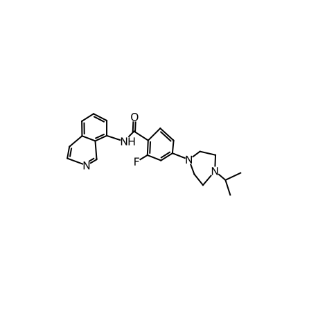 CC(C)N1CCN(c2ccc(C(=O)Nc3cccc4ccncc34)c(F)c2)CC1